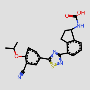 CC(C)Oc1ccc(-c2nc(-c3cccc4c3CCC4NC(=O)O)ns2)cc1C#N